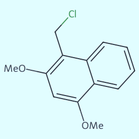 COc1cc(OC)c2ccccc2c1CCl